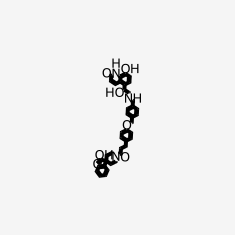 O=C(CCc1ccc(OCc2ccc(CNCC(O)c3ccc(O)c4[nH]c(=O)ccc34)cc2)cc1)N1CCC(C(=O)O)(c2ccccc2)CC1